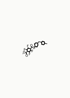 COC(=O)c1c(F)c(F)c(C(=O)Oc2ccc(Cc3ccc(C)cc3)cc2)c(F)c1F